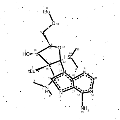 C[SiH](C)O[C@]1(C(C)(C)C)[C@H](O)[C@@H](COC(C)(C)C)O[C@]1(n1cnc2c(N)ncnc21)[SiH](C)C